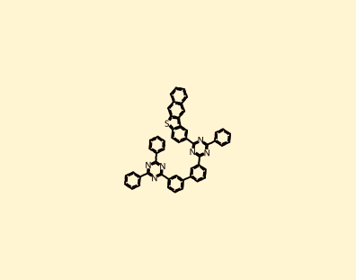 c1ccc(-c2nc(-c3ccccc3)nc(-c3cccc(-c4cccc(-c5nc(-c6ccccc6)nc(-c6ccc7sc8cc9ccccc9cc8c7c6)n5)c4)c3)n2)cc1